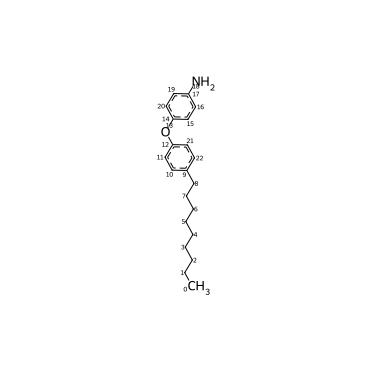 CCCCCCCCCc1ccc(Oc2ccc(N)cc2)cc1